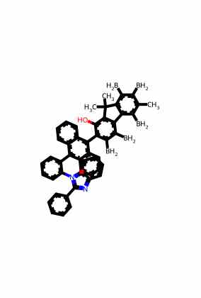 Bc1c(B)c2c(c(B)c1C)-c1c(B)c(B)c(-c3c4ccccc4c(-c4ccccc4-n4c(-c5ccccc5)nc5ccccc54)c4ccccc34)c(O)c1C2(C)C